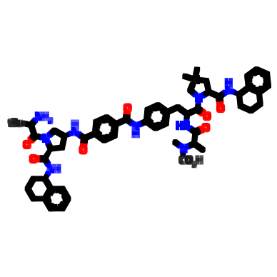 CC(C(=O)NC(Cc1ccc(NC(=O)c2ccc(C(=O)N[C@H]3C[C@@H](C(=O)N[C@@H]4CCCc5ccccc54)N(C(=O)C(N)C(C)(C)C)C3)cc2)cc1)C(=O)N1C[Si](C)(C)CC1C(=O)N[C@@H]1CCCc2ccccc21)N(C)C(=O)O